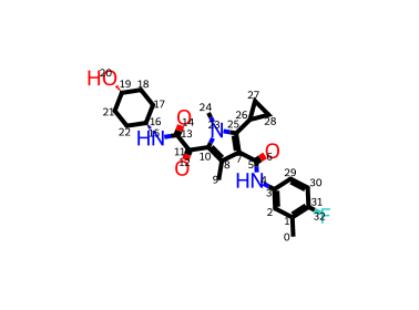 Cc1cc(NC(=O)c2c(C)c(C(=O)C(=O)N[C@H]3CC[C@@H](O)CC3)n(C)c2C2CC2)ccc1F